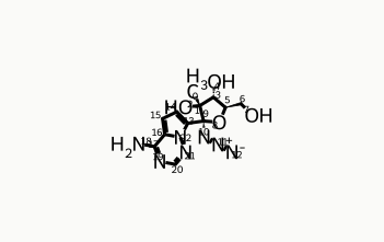 C[C@@]1(O)[C@H](O)[C@@H](CO)O[C@@]1(N=[N+]=[N-])c1ccc2c(N)ncnn12